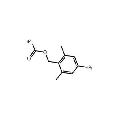 Cc1cc(C(C)C)cc(C)c1COC(=O)C(C)C